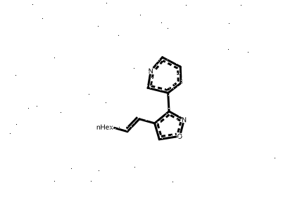 CCCCCC/C=C/c1conc1-c1cccnc1